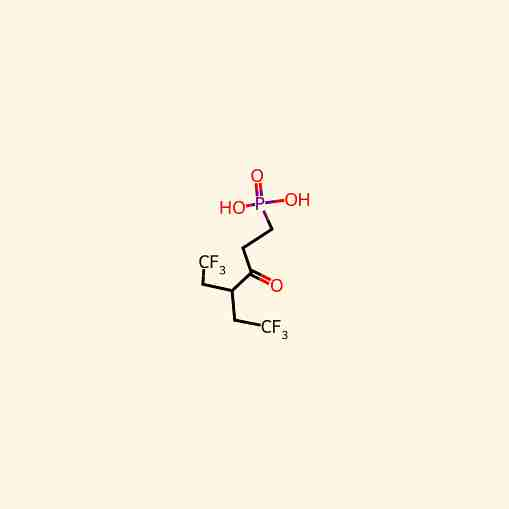 O=C(CCP(=O)(O)O)C(CC(F)(F)F)CC(F)(F)F